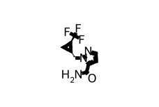 NC(=O)c1ccnn1C[C@@H]1C[C@H]1C(F)(F)F